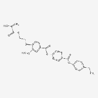 C=C(C)C(=O)OCCOc1ccc(C(=O)Oc2ccc(C(=O)Oc3ccc(CC)cc3)cc2)cc1OC